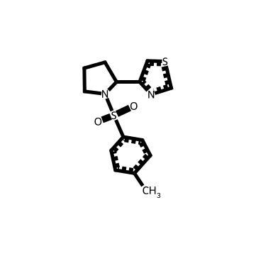 Cc1ccc(S(=O)(=O)N2CCCC2c2cscn2)cc1